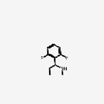 CCC(NC)c1c(F)cccc1F